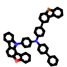 c1ccc(-c2ccc(N(c3ccc(-c4ccc5sc6ccccc6c5c4)cc3)c3ccc(-n4c5ccccc5c5ccc6oc7ccccc7c6c54)cc3)cc2)cc1